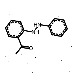 CC(=O)c1ccccc1NNc1ccccc1